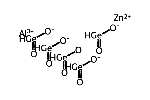 [Al+3].[O]=[GeH][O-].[O]=[GeH][O-].[O]=[GeH][O-].[O]=[GeH][O-].[O]=[GeH][O-].[Zn+2]